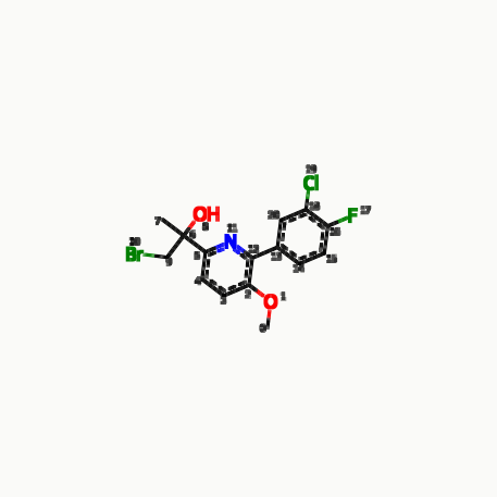 COc1ccc(C(C)(O)CBr)nc1-c1ccc(F)c(Cl)c1